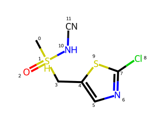 C[SH](=O)(Cc1cnc(Cl)s1)NC#N